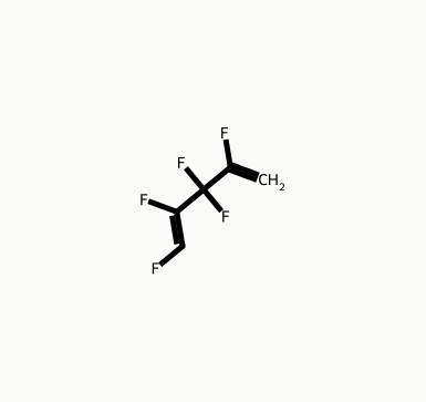 C=C(F)C(F)(F)/C(F)=C/F